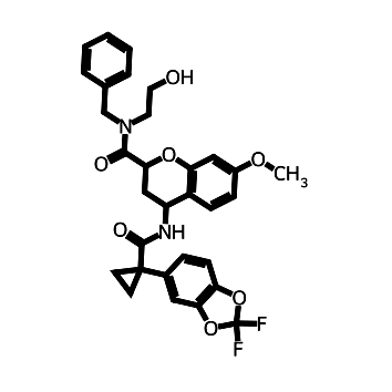 COc1ccc2c(c1)OC(C(=O)N(CCO)Cc1ccccc1)CC2NC(=O)C1(c2ccc3c(c2)OC(F)(F)O3)CC1